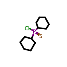 S=P(Cl)(C1CCCCC1)C1CCCCC1